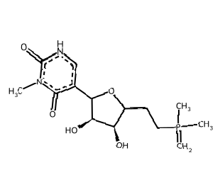 C=P(C)(C)CCC1OC(c2c[nH]c(=O)n(C)c2=O)[C@H](O)[C@@H]1O